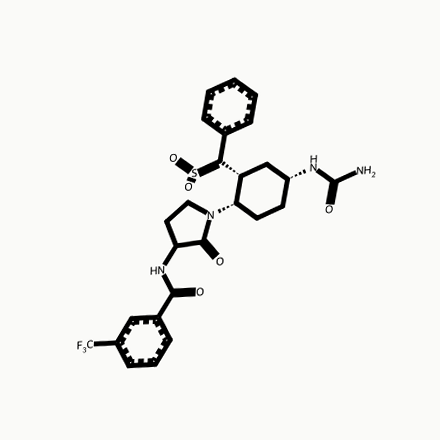 NC(=O)N[C@@H]1CC[C@H](N2CCC(NC(=O)c3cccc(C(F)(F)F)c3)C2=O)[C@H](C(c2ccccc2)=S(=O)=O)C1